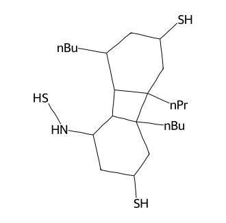 CCCCC1CC(S)CC2(CCC)C1C1C(NS)CC(S)CC12CCCC